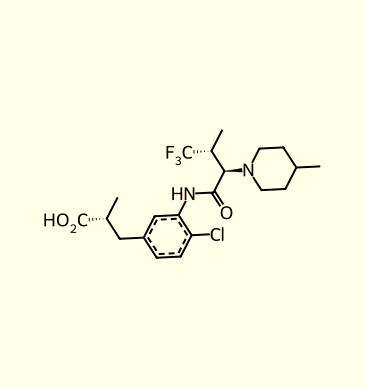 CC1CCN([C@@H](C(=O)Nc2cc(C[C@@H](C)C(=O)O)ccc2Cl)[C@@H](C)C(F)(F)F)CC1